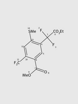 CCOC(=O)C(F)(F)c1cc(C(=O)OC)c(C(F)(F)F)cc1SC